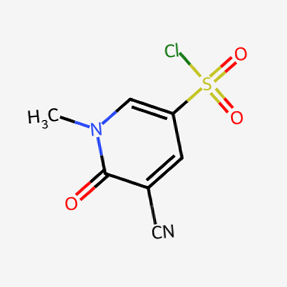 Cn1cc(S(=O)(=O)Cl)cc(C#N)c1=O